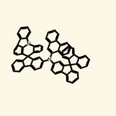 c1ccc2c(c1)-c1ccccc1C21c2ccccc2-c2ccc(N(c3ccc4c(c3)C3(c5ccccc5-4)c4ccccc4-n4c5ccccc5c5cccc3c54)c3cc4ccccc4c4ccccc34)cc21